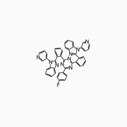 Fc1ccc(-c2nc(-c3ccccc3-c3nc4ccccc4n3-c3cccnc3)nc(-c3ccccc3-c3nc4ccccc4n3-c3cccnc3)n2)cc1